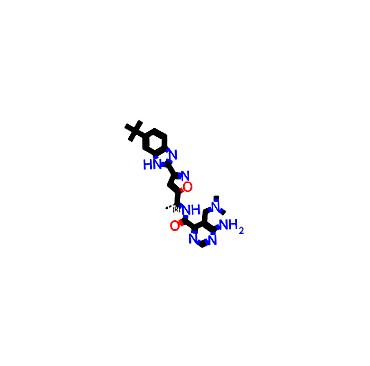 C[C@@H](NC(=O)c1ncnc(N)c1CN(C)C)c1cc(-c2nc3ccc(C(C)(C)C)cc3[nH]2)no1